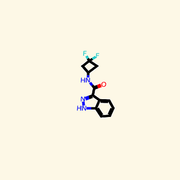 O=C(NC1CC(F)(F)C1)c1n[nH]c2ccccc12